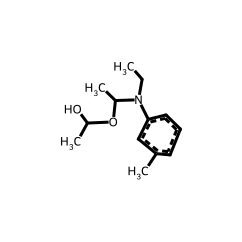 CCN(c1cccc(C)c1)C(C)OC(C)O